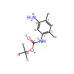 Cc1cc(C)c(NC(=O)OC(C)(C)C)cc1N